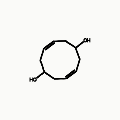 OC1C/C=C\CC(O)C/C=C\C1